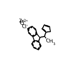 CC(C1=CC=CC1)C1c2ccccc2-c2ccccc21.[Cl-].[Cl-].[Zr+2]